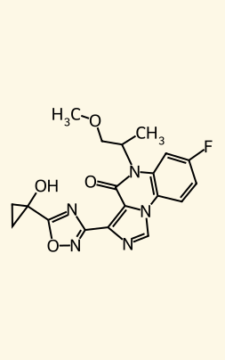 COCC(C)n1c(=O)c2c(-c3noc(C4(O)CC4)n3)ncn2c2ccc(F)cc21